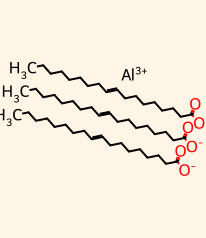 CCCCCCCCC=CCCCCCCCC(=O)[O-].CCCCCCCCC=CCCCCCCCC(=O)[O-].CCCCCCCCC=CCCCCCCCC(=O)[O-].[Al+3]